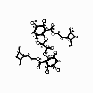 CC1CC(C)C1CCOC(=O)c1c(Cl)c(Cl)cc(Cl)c1OC(=O)C(=O)Oc1c(Cl)cc(Cl)c(Cl)c1C(=O)OCCC1C(C)CC1C